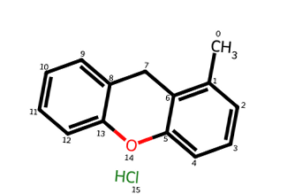 Cc1cccc2c1Cc1ccccc1O2.Cl